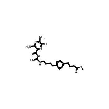 COC(=O)CCCc1ccc(CCCCNC(=N)NC(=O)c2nc(Cl)c(N)nc2N)cc1